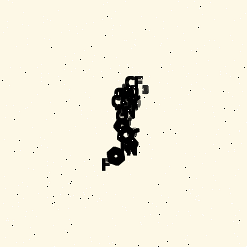 C[C@@H]1C2=C(CC[C@@H]2CN(C[C@H](C)OS(=O)(=O)CC(F)(F)F)S(=O)(=O)CC(F)(F)F)Cc2c1cnn2-c1ccc(F)cc1